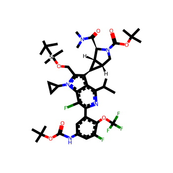 CC(C)c1nc(-c2cc(NC(=O)OC(C)(C)C)cc(F)c2OC(F)(F)F)c(F)c2c1c([C@@H]1[C@H]3CN(C(=O)OC(C)(C)C)[C@H](C(=O)N(C)C)[C@H]31)c(CO[Si](C)(C)C(C)(C)C)n2C1CC1